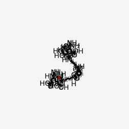 CC(=O)N[C@H]1[C@H]([C@H](OC(=O)NCCCCNS(=O)(=O)c2cccc(S(=O)(=O)NCCCCNC(=O)O[C@@H]([C@@H]3OC(C(=O)O)=C[C@H](NC(=N)N)[C@H]3NC(C)=O)[C@H](O)CO)c2)[C@H](O)CO)OC(C(=O)O)=C[C@@H]1NC(=N)N